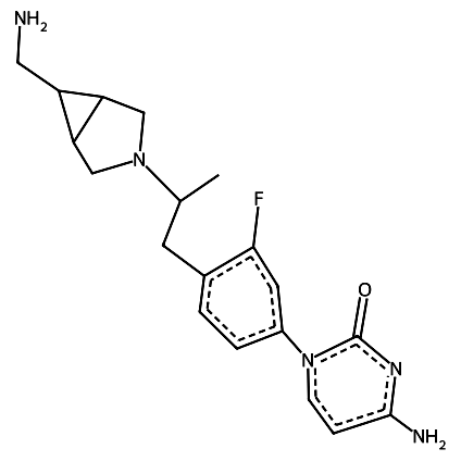 CC(Cc1ccc(-n2ccc(N)nc2=O)cc1F)N1CC2C(CN)C2C1